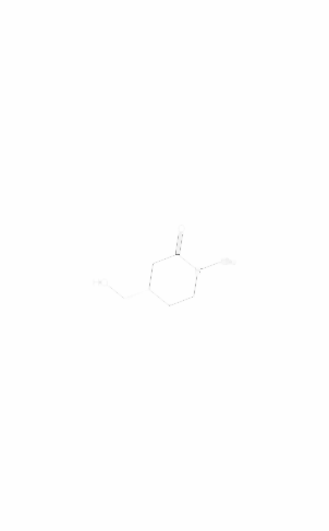 CC(C)(C)N1CC[C@H](CO)CC1=O